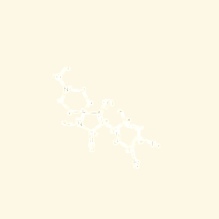 CON1CCC2(CC1)C(O)=C(c1cc(Br)c(F)cc1C)C(=O)N2C